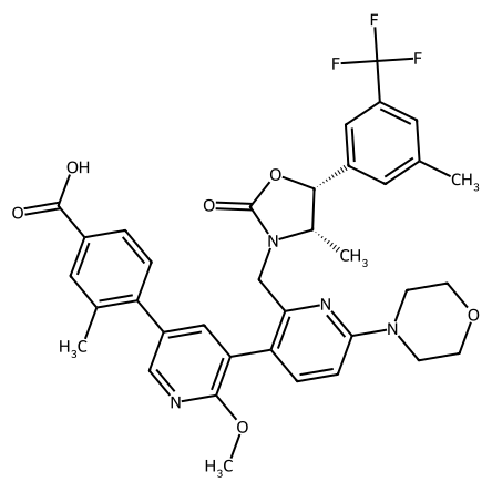 COc1ncc(-c2ccc(C(=O)O)cc2C)cc1-c1ccc(N2CCOCC2)nc1CN1C(=O)O[C@H](c2cc(C)cc(C(F)(F)F)c2)[C@@H]1C